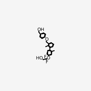 Cc1cc(OC(F)(F)CO)ccc1-c1cccc(COc2ccc(CO)cc2)c1C